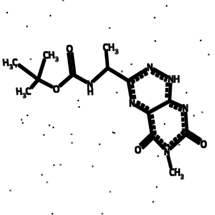 CC(NC(=O)OC(C)(C)C)c1n[nH]c2nc(=O)n(C)c(=O)c-2n1